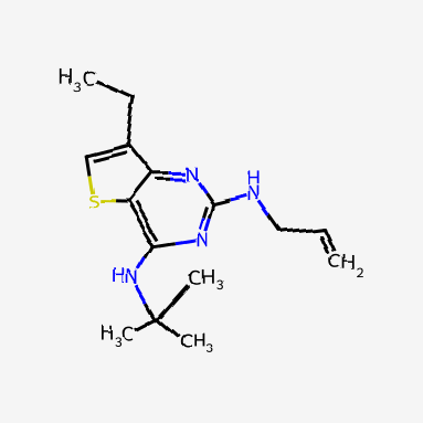 C=CCNc1nc(NC(C)(C)C)c2scc(CC)c2n1